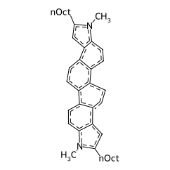 CCCCCCCCc1cc2c3ccc4c(ccc5c4ccc4c5cc(CCCCCCCC)n4C)c3ccc2n1C